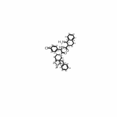 CN1N=C2CCN(C(=O)C(NC(=O)C3CCc4ccccc4C3N)c3ccc(Cl)cc3)CC2(Cc2ccccc2)C1=O